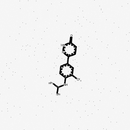 CCCC(CCC)Nc1ccc(-c2ccc(=O)[nH]n2)cc1C(F)(F)F